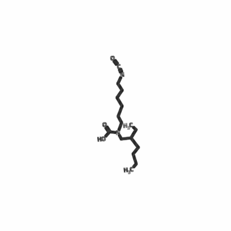 CCCCC(CC)CN(CCCCCCN=C=O)C(=O)O